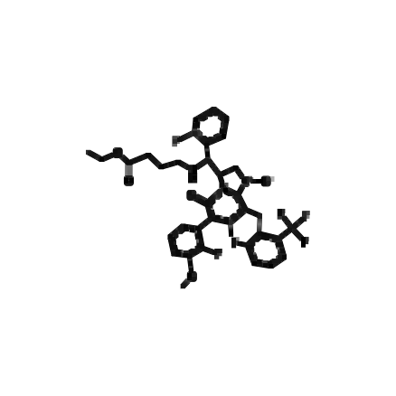 CCOC(=O)CCCNC(c1ccccc1F)C1C[S+]([O-])c2c(Cc3c(F)cccc3C(F)(F)F)c(C)c(-c3cccc(OC)c3F)c(=O)n21